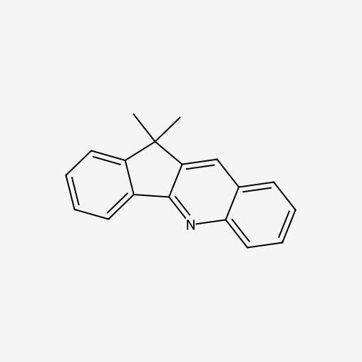 CC1(C)c2ccccc2-c2nc3ccccc3cc21